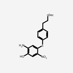 CCCCCCCCCCCCc1ccc(Sc2cc(N)c(O)cc2[N+](=O)[O-])cc1